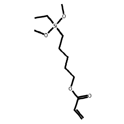 C=CC(=O)OCCCCC[Si](CC)(OC)OC